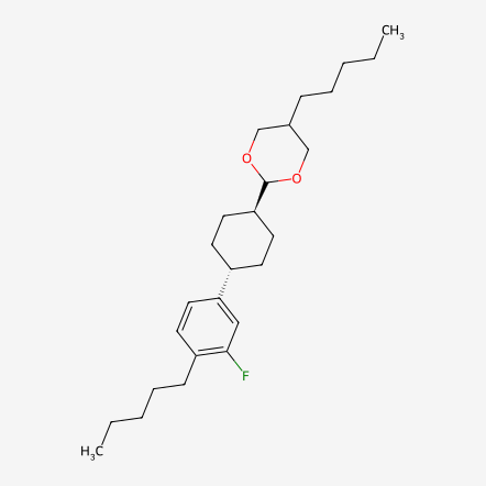 CCCCCc1ccc([C@H]2CC[C@H](C3OCC(CCCCC)CO3)CC2)cc1F